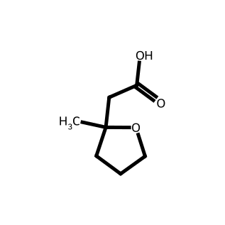 CC1(CC(=O)O)CCCO1